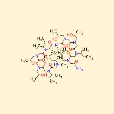 CC[C@@H](C)N(CC(N)=O)C(=O)CN(C(=O)CN(C[C@@H](C)O)C(=O)CN(C[C@H](C)O)C(=O)CN(C(=O)CN(C(=O)CN(C[C@@H](C)O)C(=O)CN(C[C@H](C)O)C(=O)CN(C(=O)CN[C@@H](C)CC)[C@H](C)CC)[C@@H](C)CC)[C@H](C)CC)[C@@H](C)CC